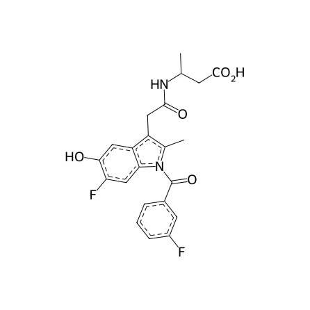 Cc1c(CC(=O)NC(C)CC(=O)O)c2cc(O)c(F)cc2n1C(=O)c1cccc(F)c1